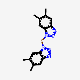 Cc1cc2nnn(Sn3nnc4cc(C)c(C)cc43)c2cc1C